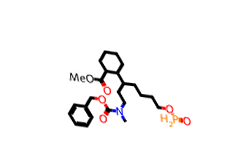 COC(=O)C1CCCCC1C(CCCCO[PH2]=O)CCN(C)C(=O)OCc1ccccc1